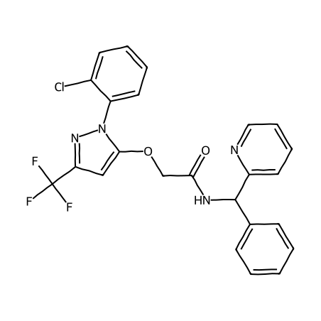 O=C(COc1cc(C(F)(F)F)nn1-c1ccccc1Cl)NC(c1ccccc1)c1ccccn1